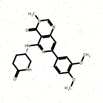 COc1ccc(-c2cc3ncn(C)c(=O)c3c(N[C@H]3CCC(=O)NC3)n2)cc1OC